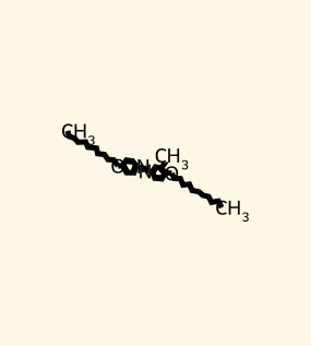 CCCCCCCCCCCOc1ccc(N=Nc2ccc(OCCCCCCCCCCC)c(CC)c2)cc1